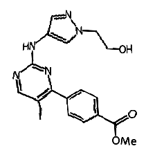 COC(=O)c1ccc(-c2nc(Nc3cnn(CCO)c3)ncc2C)cc1